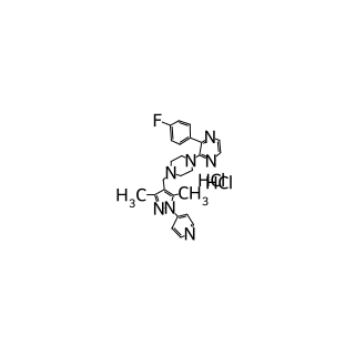 Cc1nn(-c2ccncc2)c(C)c1CN1CCN(c2nccnc2-c2ccc(F)cc2)CC1.Cl.Cl